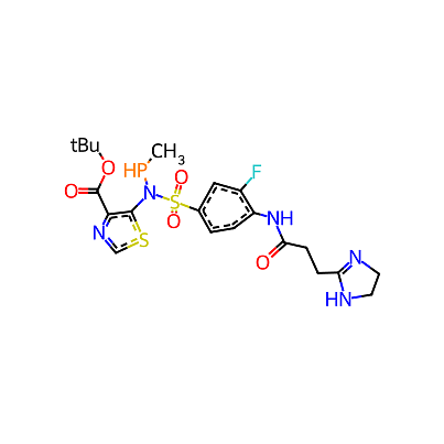 CPN(c1scnc1C(=O)OC(C)(C)C)S(=O)(=O)c1ccc(NC(=O)CCC2=NCCN2)c(F)c1